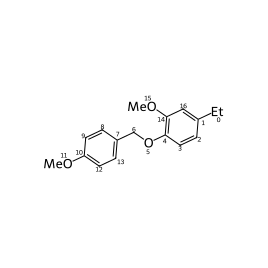 CCc1ccc(OCc2ccc(OC)cc2)c(OC)c1